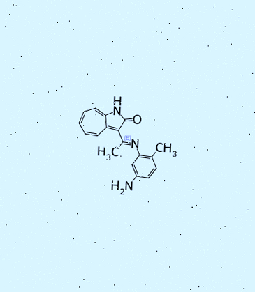 C/C(=N\c1cc(N)ccc1C)c1c2cccccc-2[nH]c1=O